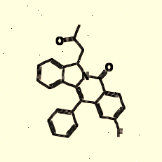 CC(=O)CC1c2ccccc2-c2c(-c3ccccc3)c3cc(F)ccc3c(=O)n21